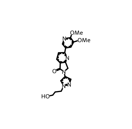 COc1cc(-c2ccc3c(n2)CN(c2cnn(CCCO)c2)C3=O)cnc1OC